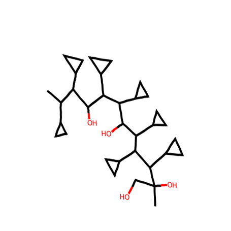 CC(C1CC1)C(C1CC1)C(O)C(C1CC1)C(C1CC1)C(O)C(C1CC1)C(C1CC1)C(C1CC1)C(C)(O)CO